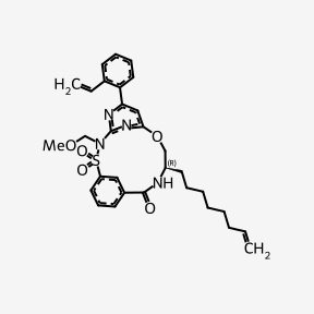 C=CCCCCCC[C@@H]1COc2cc(-c3ccccc3C=C)nc(n2)N(COC)S(=O)(=O)c2cccc(c2)C(=O)N1